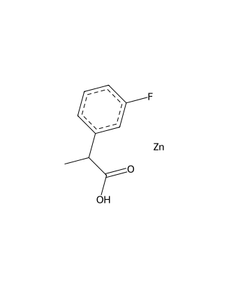 CC(C(=O)O)c1cccc(F)c1.[Zn]